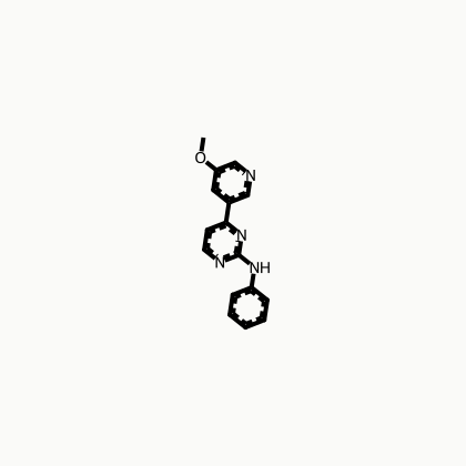 COc1cncc(-c2ccnc(Nc3ccccc3)n2)c1